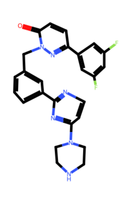 O=c1ccc(-c2cc(F)cc(F)c2)nn1Cc1cccc(-c2nccc(N3CCNCC3)n2)c1